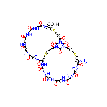 N[C@H]1CSCCC(=O)n2c(=O)n3c(=O)n(c2=O)C(=O)CCSC[C@H](NC(=O)CNC(=O)CNC(=O)CNC(=O)CNC(=O)CNC1=O)C(=O)NCC(=O)NCC(=O)NCC(=O)NCC(=O)NCC(=O)N[C@H](C(=O)O)CSCCC3=O